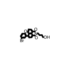 O=c1c2ccc3oc4ccc(Br)cc4c4ccc(c(=O)n1CCCCO)c2c34